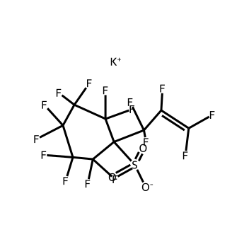 O=S(=O)([O-])C1(C(F)(F)C(F)=C(F)F)C(F)(F)C(F)(F)C(F)(F)C(F)(F)C1(F)F.[K+]